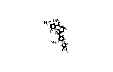 COc1cc(-c2nnc3n(C(CO)c4cc(C)cc(F)c4)cc(Cl)cc2-3)ccc1-n1cnc(C)c1